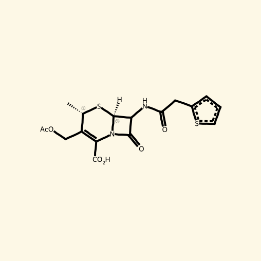 CC(=O)OCC1=C(C(=O)O)N2C(=O)C(NC(=O)Cc3cccs3)[C@@H]2S[C@H]1C